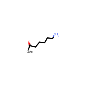 CC(=O)OC(=O)CCCCCN